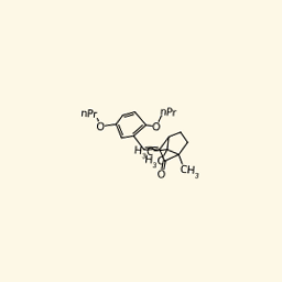 CCCOc1ccc(OCCC)c(C=C2C(=O)C3(C)CCC2C3(C)C)c1